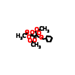 CC(=O)O[C@@H]1OCC(COCc2ccccc2)(OC(C)=O)[C@H]1OC(C)=O